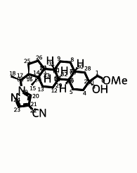 COC[C@@]1(O)CC[C@H]2[C@H](CC[C@@H]3[C@@H]2CC[C@]2(C)[C@@H]([C@H](C)n4cc(C#N)cn4)CC[C@@H]32)C1